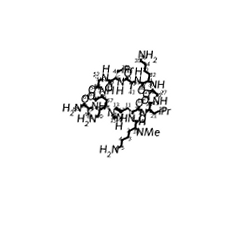 CNC(CCCCN)C(=O)N[C@@H](Cc1cnc[nH]1)C(=O)NC(CC(C)C)C(=O)N[C@@H](C)C(=O)NC(CCCCN)C(=O)N[C@@H](C)C(=O)N[C@@H](CC(C)C)C(=O)N[C@@H](C)C(=O)NC(CCCCN)C(=O)N[C@@H](C)C(N)=O